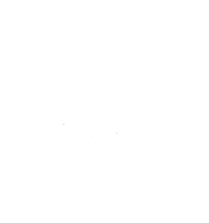 CN(C)CCCC(=O)ON(C(=O)C1=Cc2ccccc2S(=O)(=O)N1C)c1ccccn1.Cl